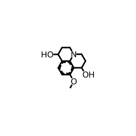 COc1ccc2c3c1C(O)CCN3CCC2O